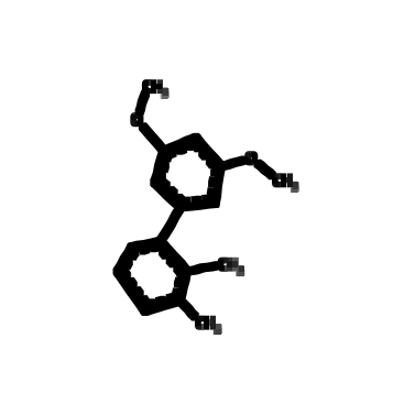 COc1cc(OC)cc(-c2cccc(C)c2C)c1